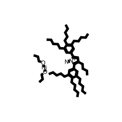 CCCCCc1cc(C2=CC(CCCC)=C(c3cc(CCCCC)c(CCCCC)c(CCCCC)c3)[N+]2=[N-])cc(CCCCC)c1CCCCC.CCC[O][Ni][O]CCC